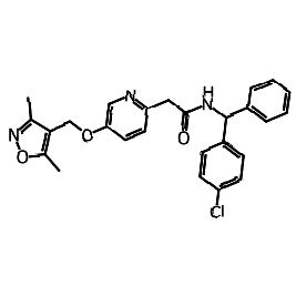 Cc1noc(C)c1COc1ccc(CC(=O)NC(c2ccccc2)c2ccc(Cl)cc2)nc1